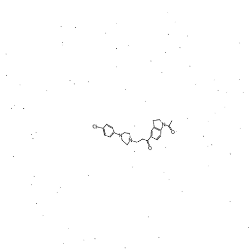 CC(=O)N1CCc2cc(C(=O)CCN3CCN(c4ccc(Cl)cc4)CC3)ccc21